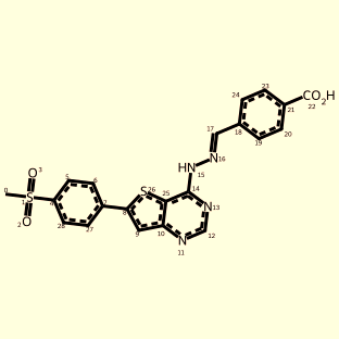 CS(=O)(=O)c1ccc(-c2cc3ncnc(NN=Cc4ccc(C(=O)O)cc4)c3s2)cc1